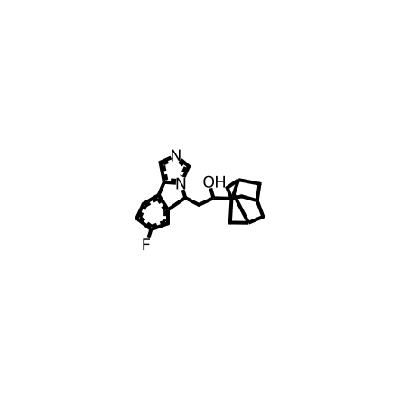 OC(CC1c2cc(F)ccc2-c2cncn21)C12CC3CC(CC(C3)C1)C2